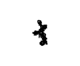 C1CCOC1.CCOc1ccccc1-c1ccc2c(c1)C=C(C(=O)Nc1ccc(CN(C)C3CCOCC3)cc1)CCN2Cc1cnn(C)c1